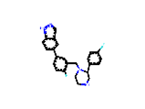 Fc1ccc(C2CNCCN2Cc2cc(-c3ccc4[nH]ncc4c3)ccc2F)cc1